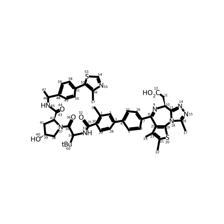 Cc1cc(-c2ccc(C3=N[C@@H](CC(=O)O)c4nnc(C)n4-c4sc(C)c(C)c43)cc2)ccc1C(=O)NC(C(=O)N1C[C@H](O)C[C@H]1C(=O)NC(C)c1ccc(-c2scnc2C)cc1)C(C)(C)C